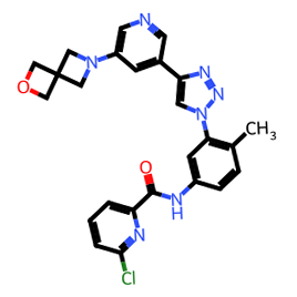 Cc1ccc(NC(=O)c2cccc(Cl)n2)cc1-n1cc(-c2cncc(N3CC4(COC4)C3)c2)nn1